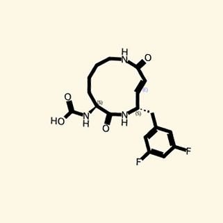 O=C(O)N[C@H]1CCCCNC(=O)/C=C/[C@H](Cc2cc(F)cc(F)c2)NC1=O